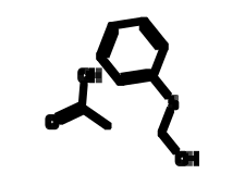 CC(=O)O.OCSc1ccccc1